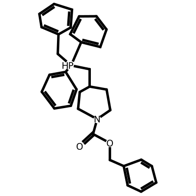 O=C(OCc1ccccc1)N1CCC(C[PH](Cc2ccccc2)(c2ccccc2)c2ccccc2)CC1